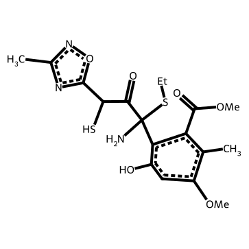 CCSC(N)(C(=O)C(S)c1nc(C)no1)c1c(O)cc(OC)c(C)c1C(=O)OC